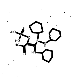 O=C(O)C(OP(=O)(O)O)=C(NC1CCCCC1)N(NC1CCCCC1)C1CCCCC1